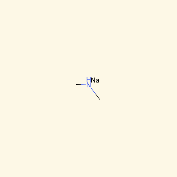 CNC.[Na]